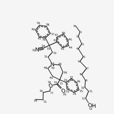 CCCCCCCCCCCCCO.CCCCOC(=O)C1(c2ccccc2)CCN(CCC(C#N)(c2ccccc2)c2ccccc2)CC1